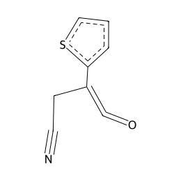 N#CCC(=C=O)c1cccs1